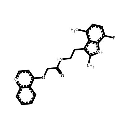 Cc1[nH]c2c(F)ccc(C)c2c1CCNC(=O)COc1ccnc2ccccc12